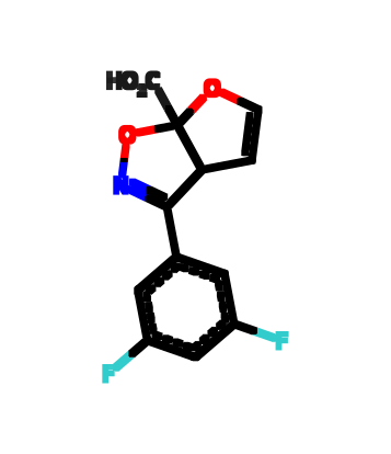 O=C(O)C12OC=CC1C(c1cc(F)cc(F)c1)=NO2